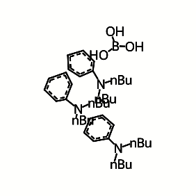 CCCCN(CCCC)c1ccccc1.CCCCN(CCCC)c1ccccc1.CCCCN(CCCC)c1ccccc1.OB(O)O